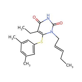 CC/C=C/Cn1c(Sc2cc(C)cc(C)c2)c(CC)c(=O)[nH]c1=O